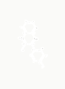 Cc1ccc(-c2nc3ccccc3nc2C)cc1